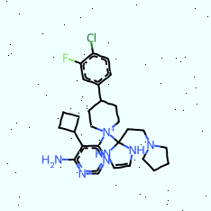 Nc1ncnc([N+]2(C3(CCN4CCCC4)NC=CN3)CCC(c3ccc(Cl)c(F)c3)CC2)c1C1CCC1